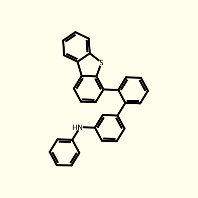 c1ccc(Nc2cccc(-c3ccccc3-c3cccc4c3sc3ccccc34)c2)cc1